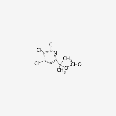 CC(C)(OC=O)c1cc(Cl)c(Cl)c(Cl)n1